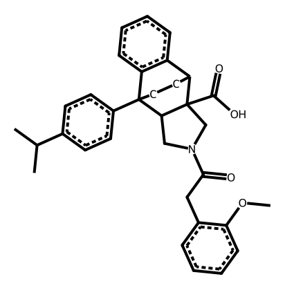 COc1ccccc1CC(=O)N1CC2C3(c4ccc(C(C)C)cc4)CCC(c4ccccc43)C2(C(=O)O)C1